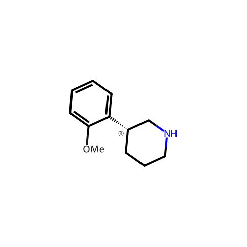 COc1ccccc1[C@H]1CCCNC1